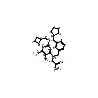 COC(=O)CN(Cc1cccc(CN2CCCC2)c1)c1nc(OCC2CCC2)nc(N)c1[N+](=O)[O-]